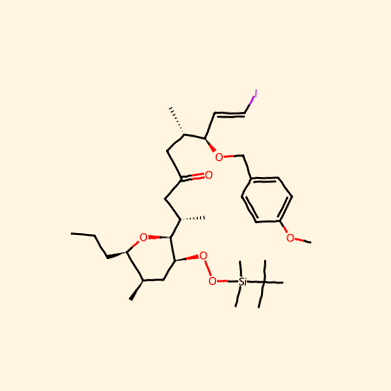 CCC[C@H]1O[C@@H]([C@@H](C)CC(=O)C[C@H](C)[C@@H](/C=C/I)OCc2ccc(OC)cc2)[C@@H](OO[Si](C)(C)C(C)(C)C)C[C@H]1C